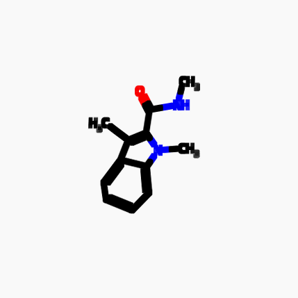 CNC(=O)c1c(C)c2ccccc2n1C